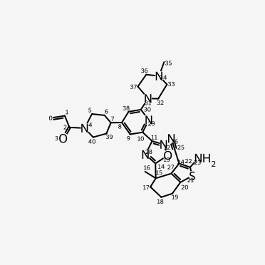 C=CC(=O)N1CCC(c2cc(-c3noc(C4(C)CCCc5sc(N)c(C#N)c54)n3)nc(N3CCN(C)CC3)c2)CC1